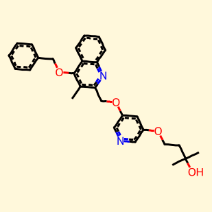 Cc1c(COc2cncc(OCCC(C)(C)O)c2)nc2ccccc2c1OCc1ccccc1